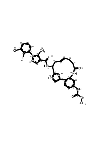 COC(=O)Nc1ccc2c(c1)NC(=O)CC/C=C/C[C@H](NC(=O)c1cnn(-c3cccc(Cl)c3F)c1C)c1nc-2c[nH]1